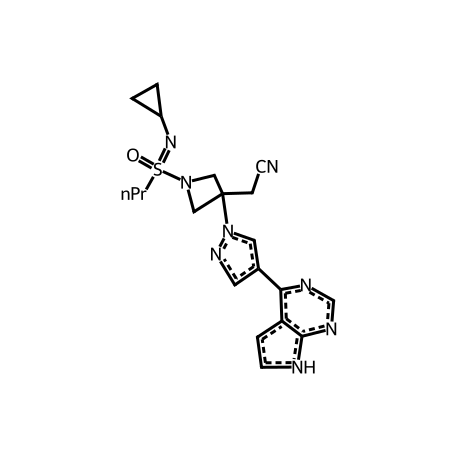 CCCS(=O)(=NC1CC1)N1CC(CC#N)(n2cc(-c3ncnc4[nH]ccc34)cn2)C1